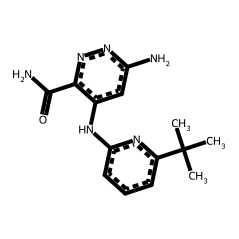 CC(C)(C)c1cccc(Nc2cc(N)nnc2C(N)=O)n1